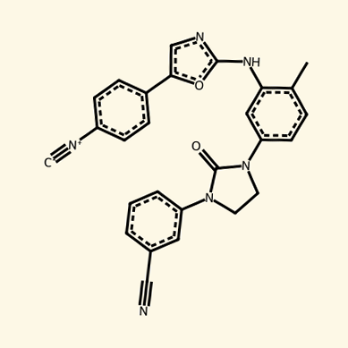 [C-]#[N+]c1ccc(-c2cnc(Nc3cc(N4CCN(c5cccc(C#N)c5)C4=O)ccc3C)o2)cc1